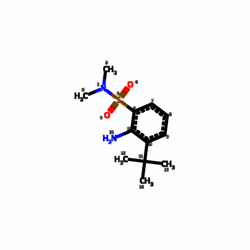 CN(C)S(=O)(=O)c1cccc(C(C)(C)C)c1N